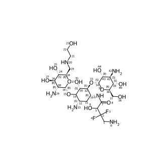 NCC(F)(F)C(O)C(=O)N[C@@H]1C[C@H](N)C(O[C@H]2O[C@H](CNCCO)[C@@H](O)[C@H](O)[C@H]2N)[C@H](O)[C@H]1O[C@H]1O[C@H](CO)[C@@H](O)[C@H](N)[C@H]1O